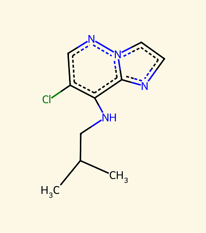 CC(C)CNc1c(Cl)cnn2ccnc12